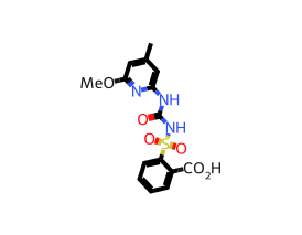 COc1cc(C)cc(NC(=O)NS(=O)(=O)c2ccccc2C(=O)O)n1